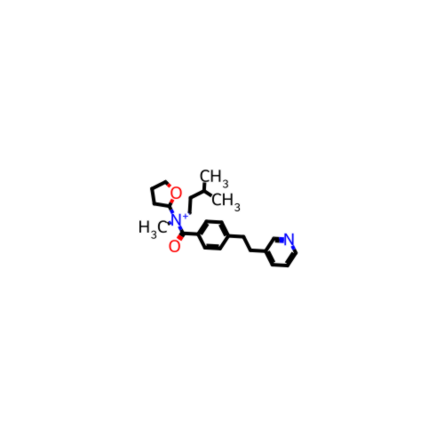 CC(C)CC[N+](C)(C(=O)c1ccc(CCc2cccnc2)cc1)C1CCCO1